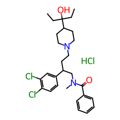 CCC(O)(CC)C1CCN(CCC(CN(C)C(=O)c2ccccc2)c2ccc(Cl)c(Cl)c2)CC1.Cl